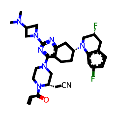 C=CC(=O)N1CCN(c2nc(N3CC(N(C)C)C3)nc3c2CC[C@@H](N2C[C@H](F)Cc4ccc(F)cc42)C3)C[C@@H]1CC#N